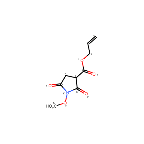 C=CCOC(=O)C1CC(=O)N(OC(=O)O)C1=O